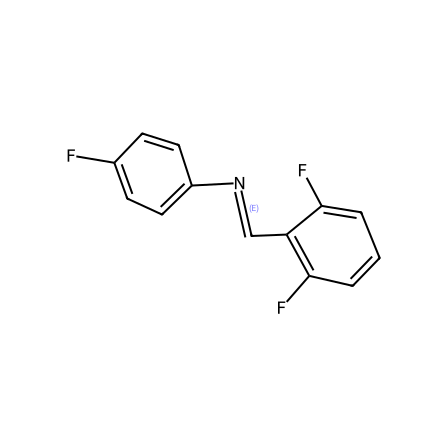 Fc1ccc(/N=C/c2c(F)cccc2F)cc1